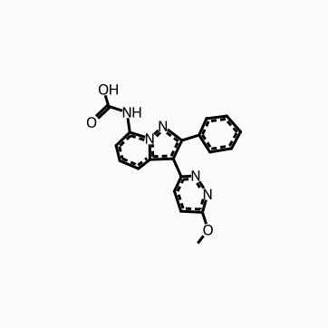 COc1ccc(-c2c(-c3ccccc3)nn3c(NC(=O)O)cccc23)nn1